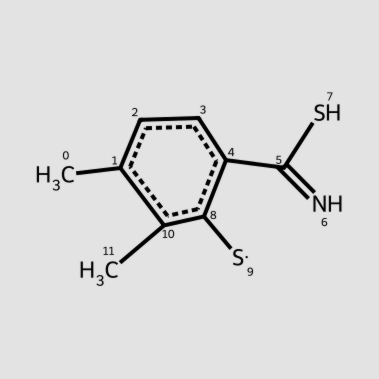 Cc1ccc(C(=N)S)c([S])c1C